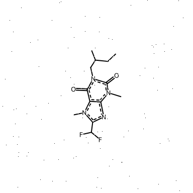 CCC(C)Cn1c(=O)c2c(nc(C(F)F)n2C)n(C)c1=O